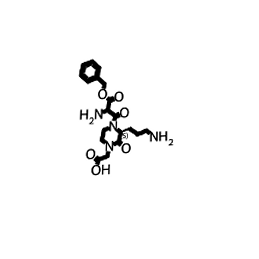 NCCC[C@H]1C(=O)N(CC(=O)O)CCN1C(=O)C(N)C(=O)OCc1ccccc1